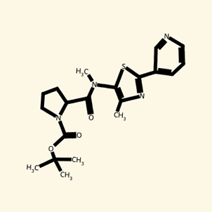 Cc1nc(-c2cccnc2)sc1N(C)C(=O)C1CCCN1C(=O)OC(C)(C)C